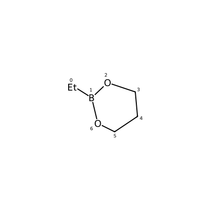 CCB1OCCCO1